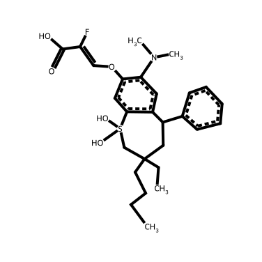 CCCCC1(CC)CC(c2ccccc2)c2cc(N(C)C)c(O/C=C(\F)C(=O)O)cc2S(O)(O)C1